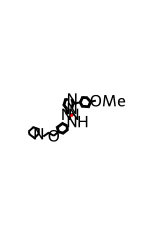 COc1ccc(-c2nccc3nc(Nc4ccc(OCCN5CCCCC5)cc4)nn23)cc1